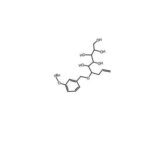 C=CCC(OCc1cccc(OCCCC)c1)C(O)C(O)C(O)C(O)CO